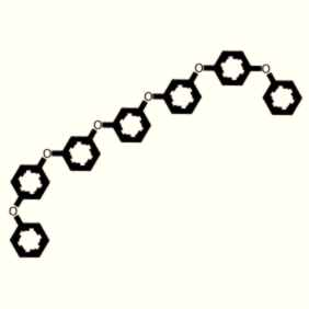 c1ccc(Oc2ccc(Oc3cccc(Oc4cccc(Oc5cccc(Oc6ccc(Oc7ccccc7)cc6)c5)c4)c3)cc2)cc1